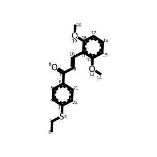 CCSc1ccc(C(=O)C=Cc2c(OC)cccc2OC)cc1